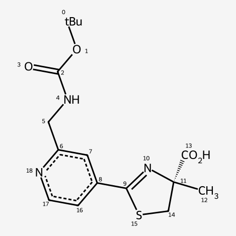 CC(C)(C)OC(=O)NCc1cc(C2=N[C@](C)(C(=O)O)CS2)ccn1